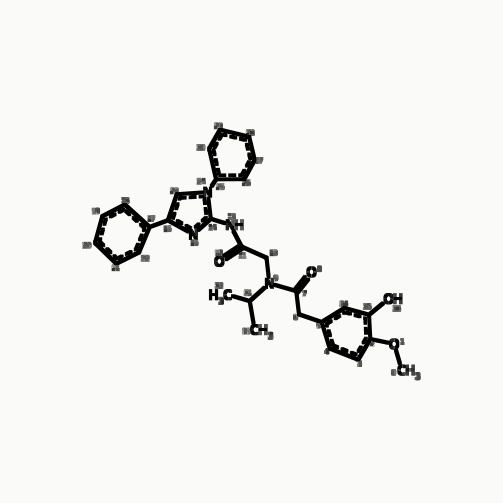 COc1ccc(CC(=O)N(CC(=O)Nc2nc(-c3ccccc3)cn2-c2ccccc2)C(C)C)cc1O